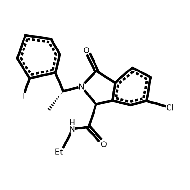 CCNC(=O)C1c2cc(Cl)ccc2C(=O)N1[C@H](C)c1ccccc1I